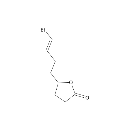 CCC=CCCC1CCC(=O)O1